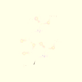 CCCCOC(=O)N[C@@H](CC(C)C)C(=O)OC(=O)[C@H](CC(C)C)NC(=O)OCCCC